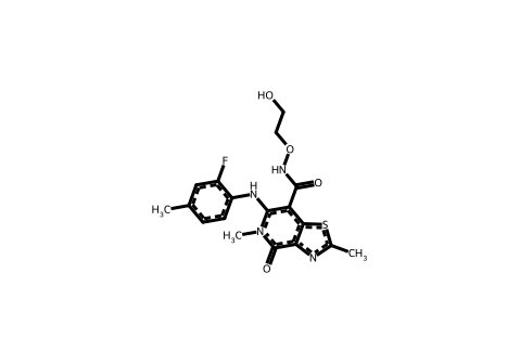 Cc1ccc(Nc2c(C(=O)NOCCO)c3sc(C)nc3c(=O)n2C)c(F)c1